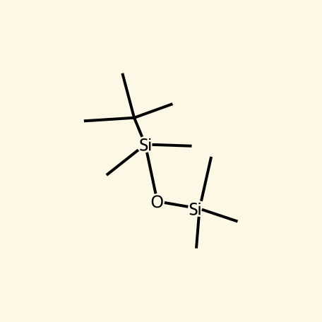 CC(C)(C)[Si](C)(C)O[Si](C)(C)C